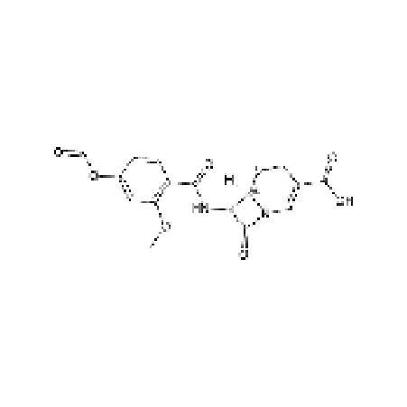 COc1cc(OC=O)ccc1C(=O)NC1C(=O)N2C=C(C(=O)O)CS[C@H]12